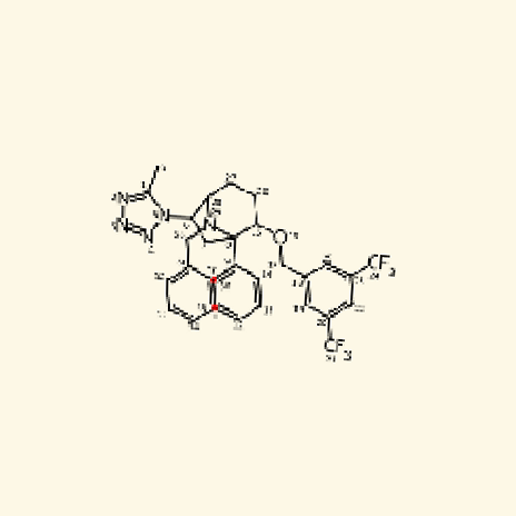 Cc1nnnn1C1CC2(c3ccccc3)C(OCc3cc(C(F)(F)F)cc(C(F)(F)F)c3)CCC1N2Cc1ccccc1